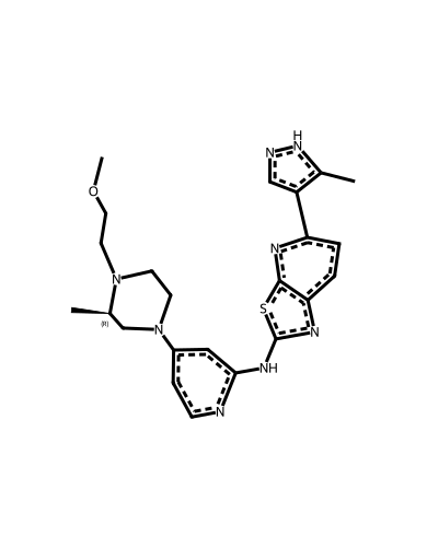 COCCN1CCN(c2ccnc(Nc3nc4ccc(-c5cn[nH]c5C)nc4s3)c2)C[C@H]1C